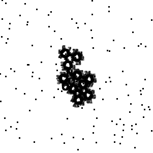 C1=CC(c2ccccc2-c2ccccc2)CC=C1N(c1ccc(-c2ccccc2)cc1)c1cccc2c1Oc1cc3c(cc1O2)-c1ccccc1C31c2ccccc2-c2ccccc21